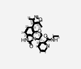 CCNC(=O)c1ncccc1[C@H]1COc2c(-c3c(C)noc3C)ccc3[nH]c(=O)n1c23